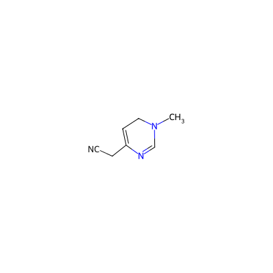 CN1C=NC(CC#N)=CC1